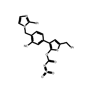 CC(C)Cc1cc(-c2ccc(Cn3ccnc3C(C)C)c(C#N)c2)c(OC(=O)N=S(=O)=O)s1